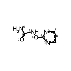 NC(=O)NOc1ncccn1